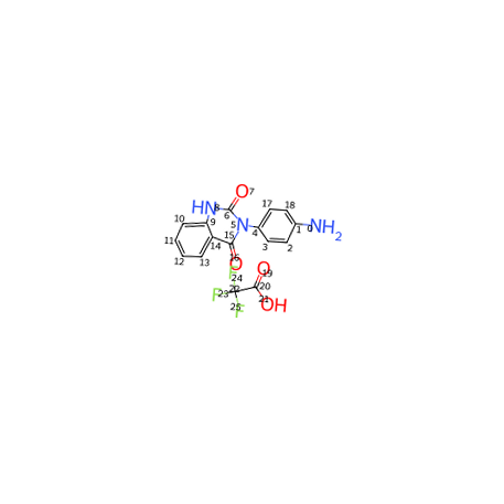 Nc1ccc(-n2c(=O)[nH]c3ccccc3c2=O)cc1.O=C(O)C(F)(F)F